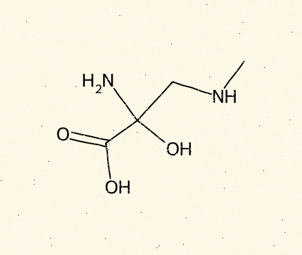 CNCC(N)(O)C(=O)O